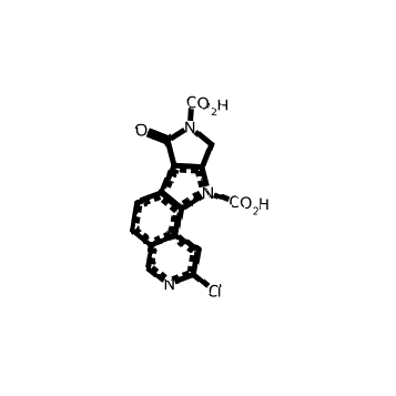 O=C(O)N1Cc2c(c3ccc4cnc(Cl)cc4c3n2C(=O)O)C1=O